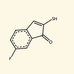 O=C1C(S)=Cc2ccc(F)cc21